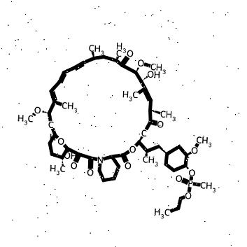 CCCOP(C)(=O)O[C@@H]1CC[C@@H](C[C@@H](C)[C@@H]2CC(=O)[C@H](C)/C=C(\C)[C@@H](O)[C@@H](OC)C(=O)[C@H](C)C[C@H](C)/C=C/C=C/C=C(\C)[C@@H](OC)C[C@@H]3CC[C@@H](C)C(O)(O3)C(=O)C(=O)N3CCCCC3C(=O)O2)C[C@H]1OC